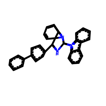 C1=CC2N3C(n4c5ccccc5c5ccccc54)NC(c4ccc(-c5ccccc5)cc4)C23C=C1